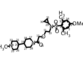 COc1cc(C)c(S(=O)(=O)N(CCOCC(=O)N2CCC(C3CCN(C)CC3)CC2)C2CC2)c(C)c1